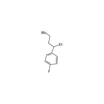 C[CH]C(CCC(C)(C)C)c1ccc(F)cc1